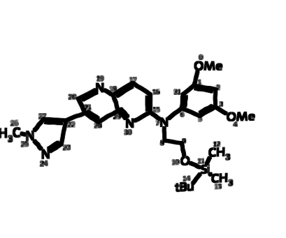 COc1cc(OC)cc(N(CCO[Si](C)(C)C(C)(C)C)c2ccc3ncc(-c4cnn(C)c4)cc3n2)c1